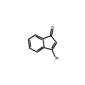 CC(C)C1=CC(=O)c2ccccc21